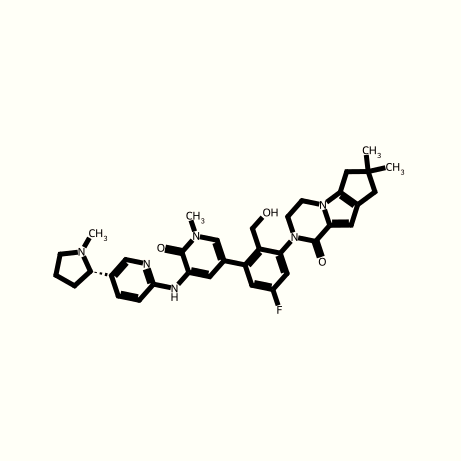 CN1CCC[C@H]1c1ccc(Nc2cc(-c3cc(F)cc(N4CCn5c(cc6c5CC(C)(C)C6)C4=O)c3CO)cn(C)c2=O)nc1